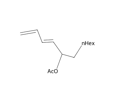 C=CC=CC(CCCCCCC)OC(C)=O